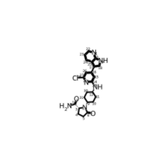 NC(=O)[C@H]1CCC(=O)N1[C@H]1CC[C@H](Nc2cc(-c3c[nH]c4ncccc34)cc(Cl)n2)CC1